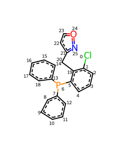 Clc1cccc(P(c2ccccc2)c2ccccc2)c1Cc1ccon1